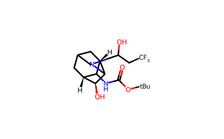 CC(C)(C)OC(=O)NC1[C@@H]2CC3C[C@H]1[C@H](O)C2N(C(O)CC(F)(F)F)C3